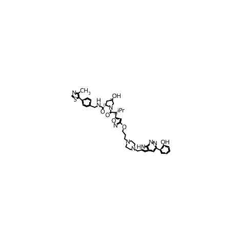 Cc1ncsc1-c1ccc(CNC(=O)[C@@H]2C[C@@H](O)CN2C(=O)[C@@H](c2cc(OCCCN3CCN(Cc4cc5cc(-c6ccccc6O)nnc5[nH]4)CC3)no2)C(C)C)cc1